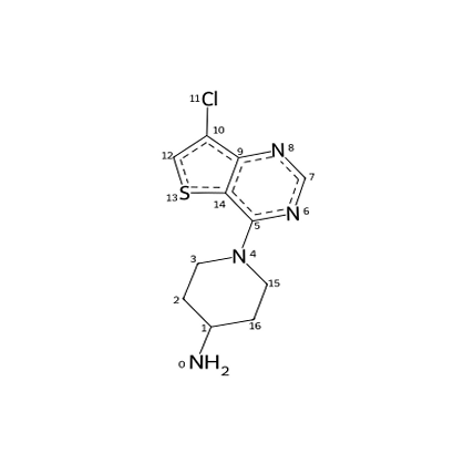 NC1CCN(c2ncnc3c(Cl)csc23)CC1